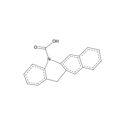 O=C(O)N1c2ccccc2Cc2cc3ccccc3cc21